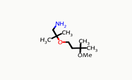 COC(C)(C)CCOC(C)(C)CN